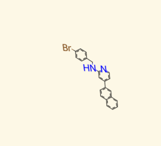 Brc1ccc(CNc2cc(-c3ccc4ccccc4c3)ccn2)cc1